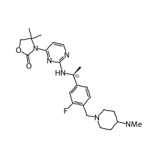 CNC1CCN(Cc2ccc([C@H](C)Nc3nccc(N4C(=O)OCC4(C)C)n3)cc2F)CC1